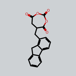 O=C1CC(Cc2cccc3c2Cc2ccccc2-3)C(=O)OC(=O)O1